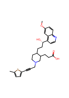 COc1ccc2nccc([C@@H](O)CCC3CCN(CC#Cc4ccc(C)s4)CC3CCC(=O)O)c2c1